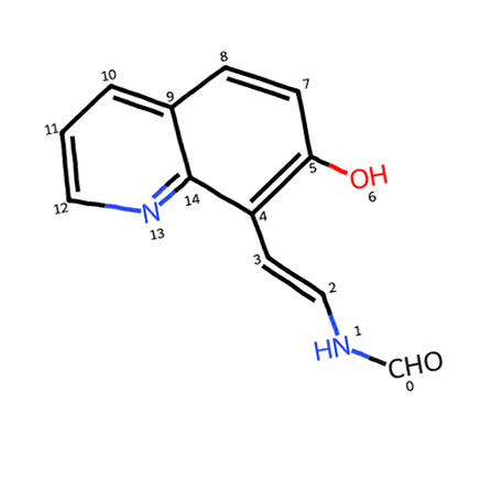 O=CNC=Cc1c(O)ccc2cccnc12